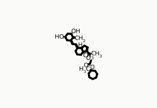 C=C1C(=CC=C2CCC[C@]3(C)C([C@H](C)OCC(=O)OC4(C)CCCCCC4)=CC[C@@H]23)C[C@@H](O)C[C@@H]1O